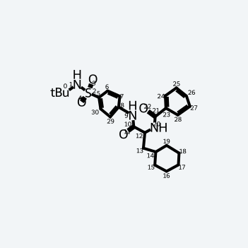 CC(C)(C)NS(=O)(=O)c1ccc(NC(=O)C(CC2CCCCC2)NC(=O)c2ccccc2)cc1